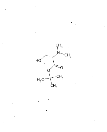 CN(C)[C@@H](CO)C(=O)OC(C)(C)C